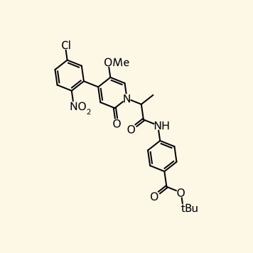 COc1cn(C(C)C(=O)Nc2ccc(C(=O)OC(C)(C)C)cc2)c(=O)cc1-c1cc(Cl)ccc1[N+](=O)[O-]